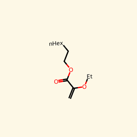 C=C(OCC)C(=O)OCCCCCCCC